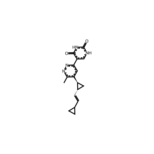 Cc1nnc(-c2c[nH]c(=O)[nH]c2=O)cc1[C@H]1C[C@@H]1/C=C/C1CC1